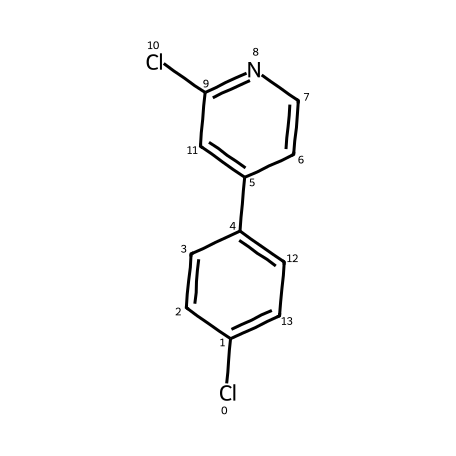 Clc1ccc(-c2ccnc(Cl)c2)cc1